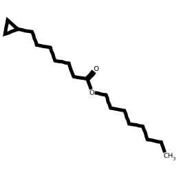 CCCCCCCCOC(=O)CCCCCCC1CC1